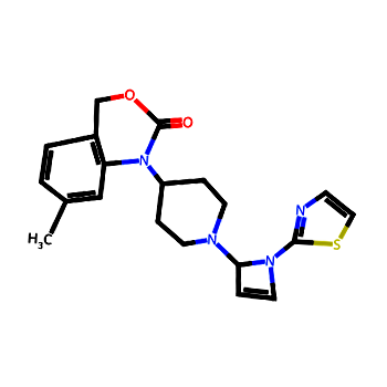 Cc1ccc2c(c1)N(C1CCN(C3C=CN3c3nccs3)CC1)C(=O)OC2